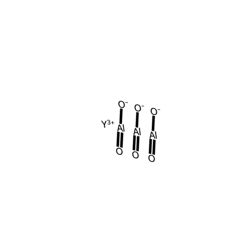 [O]=[Al][O-].[O]=[Al][O-].[O]=[Al][O-].[Y+3]